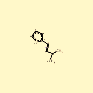 CC(C)/C=C/c1cccs1